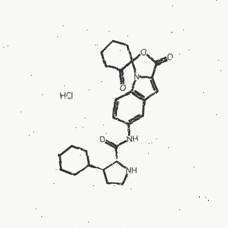 Cl.O=C1OC2(CCCCC2=O)n2c1cc1cc(NC(=O)[C@H]3NCC[C@H]3C3CCCCC3)ccc12